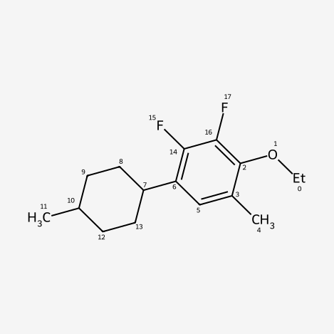 CCOc1c(C)cc(C2CCC(C)CC2)c(F)c1F